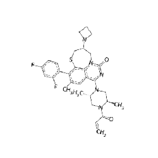 C=CC(=O)N1C[C@H](C)N(c2nc(=O)n3c4c(c(-c5ccc(F)cc5F)c(C)cc24)SCC(N2CCC2)C3)C[C@H]1C